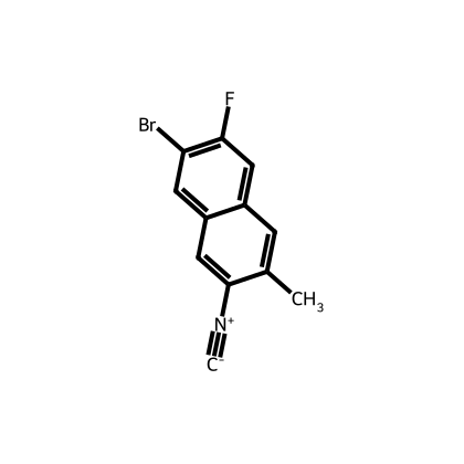 [C-]#[N+]c1cc2cc(Br)c(F)cc2cc1C